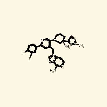 Cn1ncc([C@@]2(N)CCCN(c3cnc(-c4ccc(F)c(F)c4)cc3Cn3cnc4c(N)nccc43)C2)n1